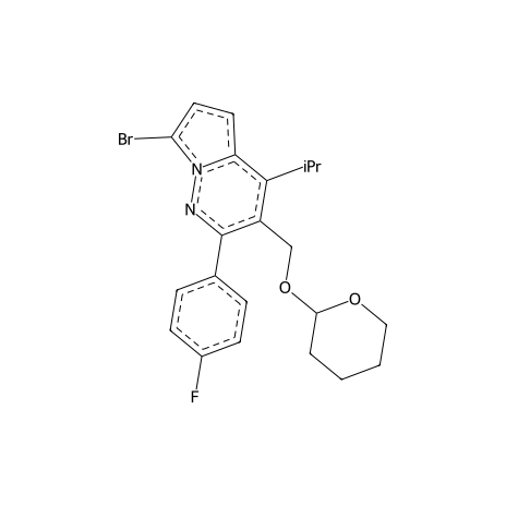 CC(C)c1c(COC2CCCCO2)c(-c2ccc(F)cc2)nn2c(Br)ccc12